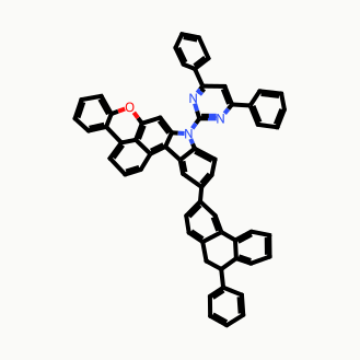 c1ccc(-c2cc(-c3ccccc3)nc(-n3c4ccc(-c5ccc6c(c5)-c5ccccc5C(c5ccccc5)C6)cc4c4c5cccc6c5c(cc43)Oc3ccccc3-6)n2)cc1